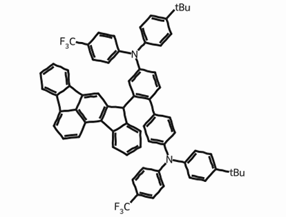 CC(C)(C)c1ccc(N(c2ccc(-c3ccc(N(c4ccc(C(C)(C)C)cc4)c4ccc(C(F)(F)F)cc4)cc3C3c4ccccc4-c4c3cc3c5c(cccc45)-c4ccccc4-3)cc2)c2ccc(C(F)(F)F)cc2)cc1